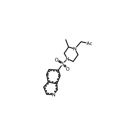 [CH2]C(=O)CN1CCN(S(=O)(=O)c2ccc3ccncc3c2)CC1C